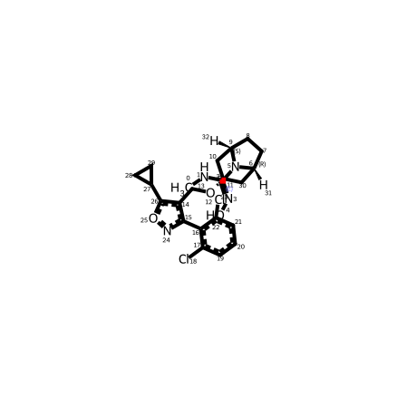 CN/C(=N\O)N1[C@@H]2CC[C@H]1C[C@@H](OCc1c(-c3c(Cl)cccc3Cl)noc1C1CC1)C2